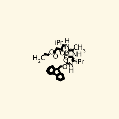 C=CCOC(=O)C[C@H](O)[C@H](NC(=O)[C@@H](C)NC(=O)[C@H](NC(=O)OCC1c2ccccc2-c2ccccc21)C(C)C)C(C)C